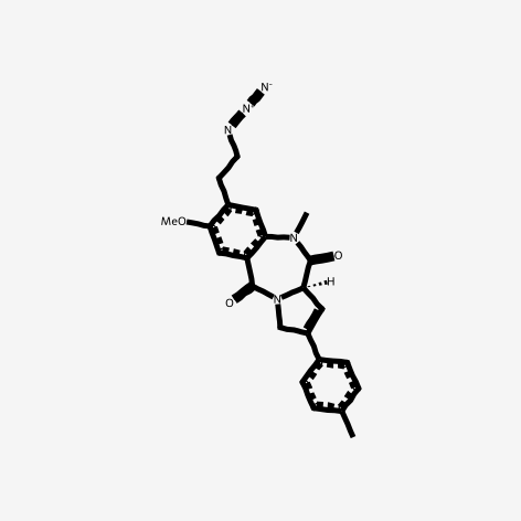 COc1cc2c(cc1CCN=[N+]=[N-])N(C)C(=O)[C@H]1C=C(c3ccc(C)cc3)CN1C2=O